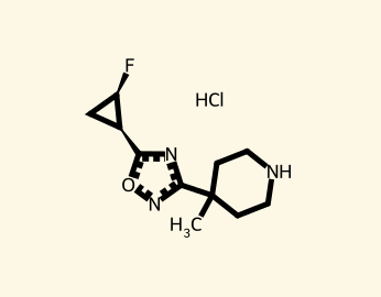 CC1(c2noc([C@H]3C[C@H]3F)n2)CCNCC1.Cl